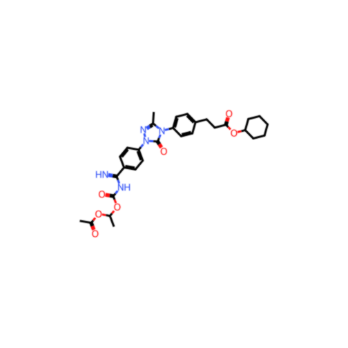 CC(=O)OC(C)OC(=O)NC(=N)c1ccc(-n2nc(C)n(-c3ccc(CCC(=O)OC4CCCCC4)cc3)c2=O)cc1